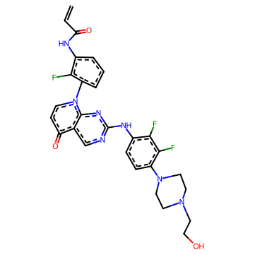 C=CC(=O)Nc1cccc(-n2ccc(=O)c3cnc(Nc4ccc(N5CCN(CCO)CC5)c(F)c4F)nc32)c1F